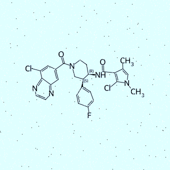 Cc1cn(C)c(Cl)c1C(=O)N[C@@H]1CCN(C(=O)c2cc(Cl)c3nccnc3c2)C[C@@H]1c1ccc(F)cc1